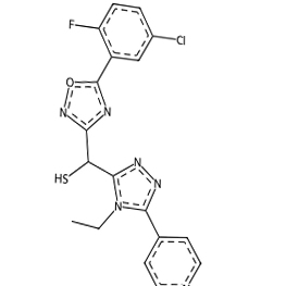 CCn1c(-c2ccncc2)nnc1C(S)c1noc(-c2cc(Cl)ccc2F)n1